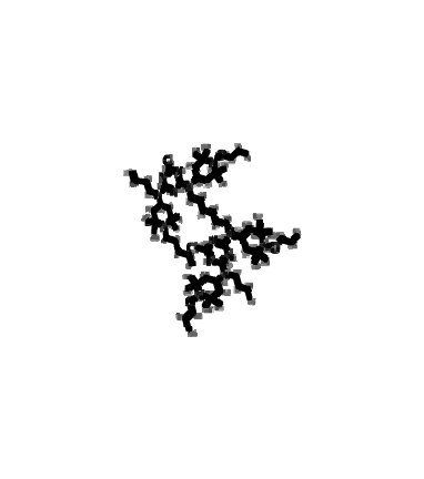 CCCCCN1C(C)(C)CC(N(CCCC)c2nc(Cl)nc(N(CCCCCCN(c3nc(Cl)nc(N(CCCC)C4CC(C)(C)N(OCCC)C(C)(C)C4)n3)C3CC(C)(C)N(OCCC)C(C)(C)C3)C3CC(C)(C)N(OCCC)C(C)(C)C3)n2)CC1(C)C